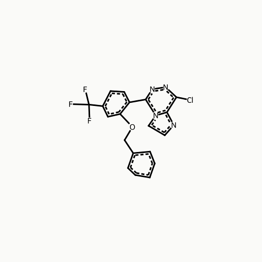 FC(F)(F)c1ccc(-c2nnc(Cl)c3nccn23)c(OCc2ccccc2)c1